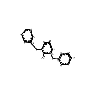 Clc1c(Cc2ccccc2)cccc1Cc1ccccc1